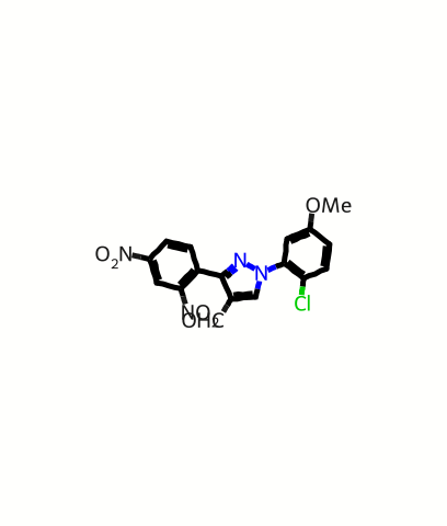 COc1ccc(Cl)c(-n2cc(C=O)c(-c3ccc([N+](=O)[O-])cc3[N+](=O)[O-])n2)c1